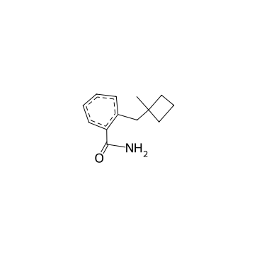 CC1(Cc2ccccc2C(N)=O)CCC1